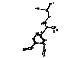 COc1cnc(C(NCC(F)F)C(F)(F)F)cc1Cl